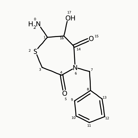 NC1SCC(=O)N(Cc2ccccc2)C(=O)C1O